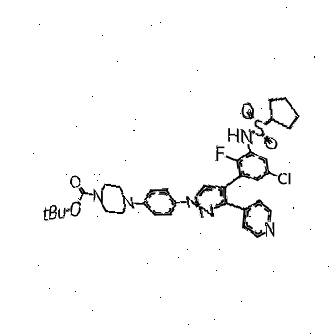 CC(C)(C)OC(=O)N1CCN(c2ccc(-n3cc(-c4cc(Cl)cc(NS(=O)(=O)C5CCCC5)c4F)c(-c4ccncc4)n3)cc2)CC1